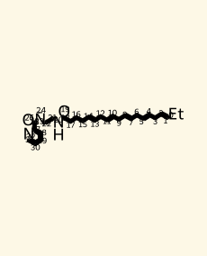 CCC=CCC=CCC=CCC=CCC=CCCCC(=O)NCCN(C)C(=O)c1ccccn1